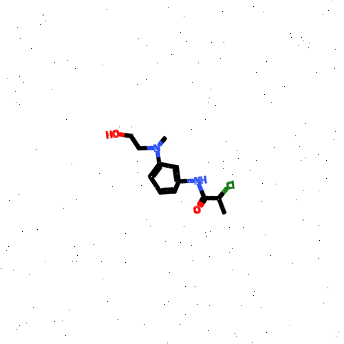 CC(Cl)C(=O)Nc1cccc(N(C)CCO)c1